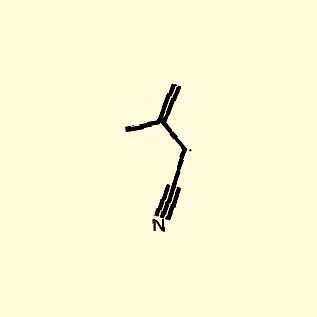 C=C(C)[CH]C#N